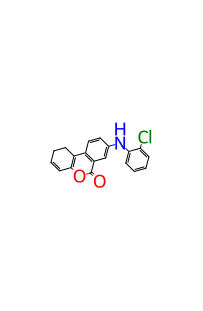 O=c1oc2c(c3ccc(Nc4ccccc4Cl)cc13)CCC=C2